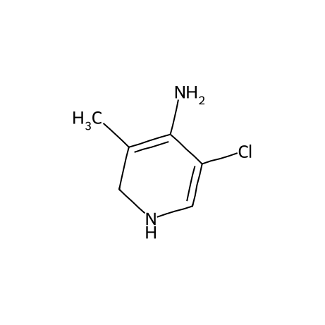 CC1=C(N)C(Cl)=CNC1